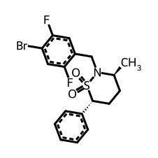 C[C@H]1CC[C@H](c2ccccc2)S(=O)(=O)N1Cc1cc(F)c(Br)cc1F